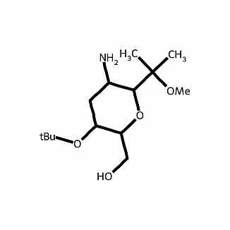 COC(C)(C)C1OC(CO)C(OC(C)(C)C)CC1N